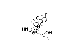 CCCN(CO)CCCS(=O)(=O)N(c1ncc(C(=O)c2c(OC)ccc(F)c2F)c(N)n1)C1CCNCC1